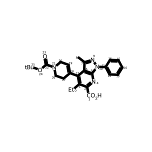 CCc1c(C(=O)O)nc2c(c(C)nn2-c2ccccc2)c1C1=CCN(C(=O)OC(C)(C)C)CC1